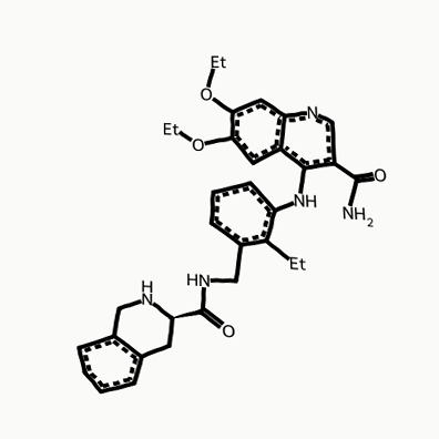 CCOc1cc2ncc(C(N)=O)c(Nc3cccc(CNC(=O)[C@H]4Cc5ccccc5CN4)c3CC)c2cc1OCC